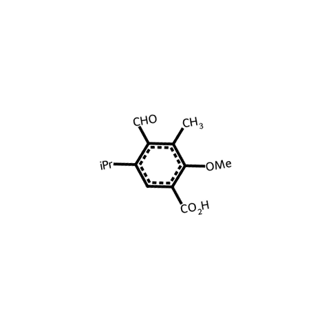 COc1c(C(=O)O)cc(C(C)C)c(C=O)c1C